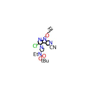 CCN(C(=O)OC(C)(C)C)[C@H]1CCN(c2c(Cl)cnc3c2c2cc(C#N)ncc2n3COCC[Si](C)(C)C)C1